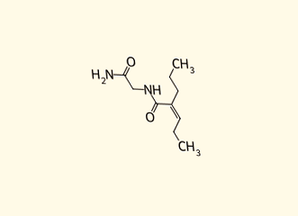 CCC=C(CCC)C(=O)NCC(N)=O